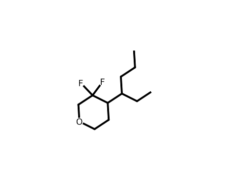 CCCC(CC)C1CCOCC1(F)F